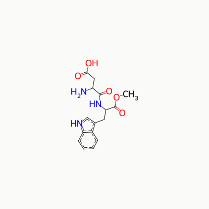 COC(=O)C(Cc1c[nH]c2ccccc12)NC(=O)C(N)CC(=O)O